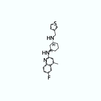 Cc1cc(N[C@@H]2CCC[C@@H](NCc3ccsc3)C2)nc2ccc(F)cc12